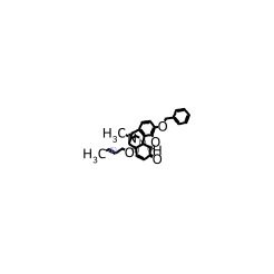 C/C=C/CO[C@@]12C=CC(=O)[C@@H]3Oc4c(OCc5ccccc5)ccc5c4[C@@]31CCN(C)C2C5